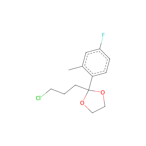 Cc1cc(F)ccc1C1(CCCCl)OCCO1